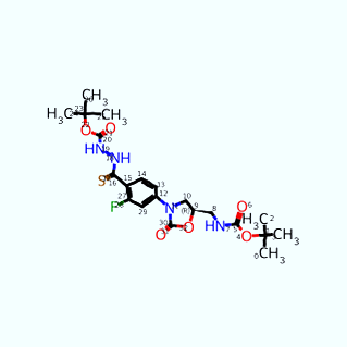 CC(C)(C)OC(=O)NC[C@@H]1CN(c2ccc(C(=S)NNC(=O)OC(C)(C)C)c(F)c2)C(=O)O1